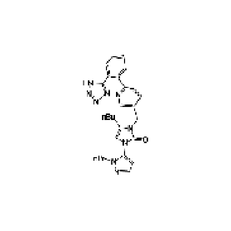 CCCCc1cn(-c2ccnn2CCC)c(=O)n1Cc1ccc(-c2ccccc2-c2nnn[nH]2)nc1